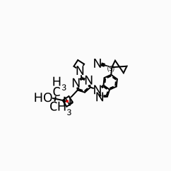 CC(C)(O)C12CC(C1)N(c1cc(-n3ncc4ccc([C@]5(C#N)CC56CC6)cc43)nc(N3CCC3)n1)C2